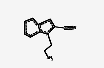 N#Cc1cc2ccccc2n1CCN